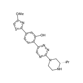 COc1csc(-c2ccc(-c3cnc(N4CCN[C@@H](C(C)C)C4)nn3)c(O)c2)n1